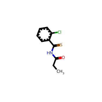 CCC(=O)NC(=S)c1ccccc1Cl